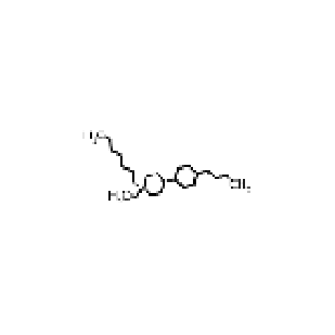 CCCCCCC[C@]1(CC)CC[C@@H](C2CCC(CCCC)CC2)CC1